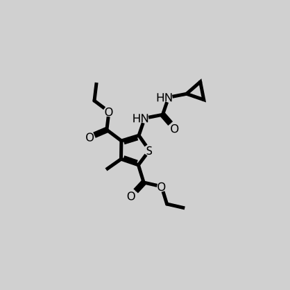 CCOC(=O)c1sc(NC(=O)NC2CC2)c(C(=O)OCC)c1C